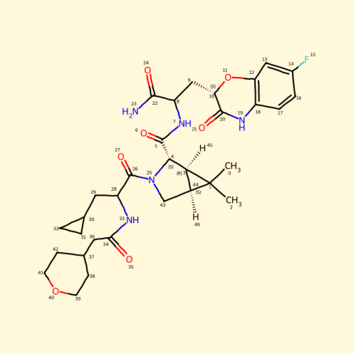 CC1(C)[C@@H]2[C@@H](C(=O)NC(C[C@@H]3Oc4cc(F)ccc4NC3=O)C(N)=O)N(C(=O)C(CC3CC3)NC(=O)CC3CCOCC3)C[C@@H]21